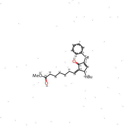 CCCCC1C=C([Se]c2ccccc2)C(=O)C1=CCCCCCC(=O)OC